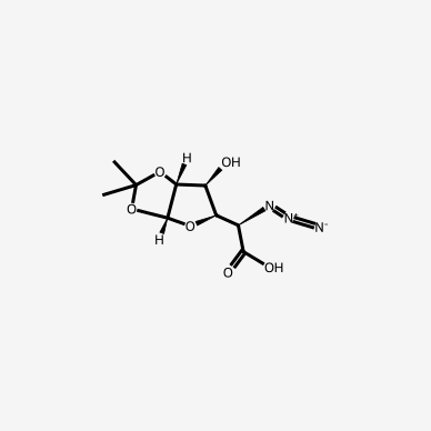 CC1(C)O[C@H]2O[C@H]([C@@H](N=[N+]=[N-])C(=O)O)[C@H](O)[C@H]2O1